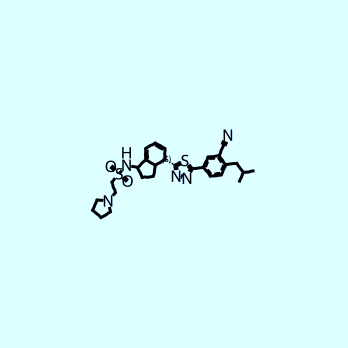 CC(C)Cc1ccc(-c2nnc([C@H]3C=CC=C4C(NS(=O)(=O)CCN5CCCC5)CCC43)s2)cc1C#N